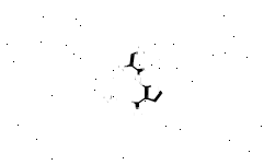 COC(=O)c1ccsc1NC(=O)/C(N)=C\N